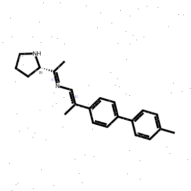 C/C(=C\N=C(/C)[C@@H]1CCCN1)c1ccc(-c2ccc(C)cc2)cc1